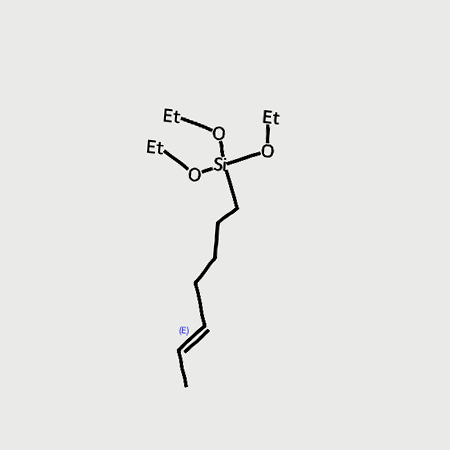 C/C=C/CCCC[Si](OCC)(OCC)OCC